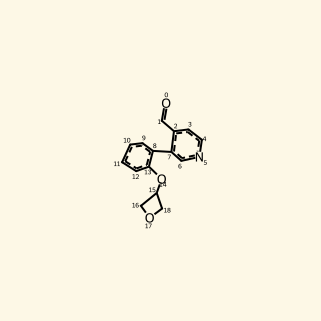 O=Cc1ccncc1-c1ccccc1OC1COC1